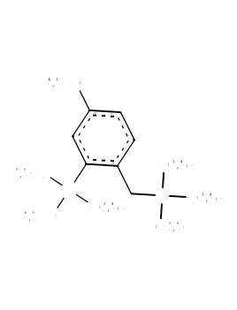 COc1ccc(C[Si](OC)(OC)OC)c([Si](OC)(OC)OC)c1